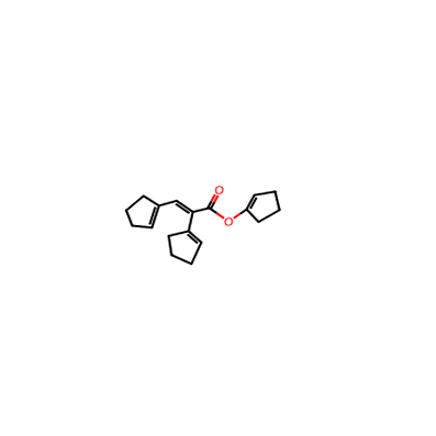 O=C(OC1=CCCC1)C(=CC1=CCCC1)C1=CCCC1